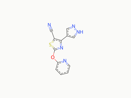 N#Cc1sc(Oc2ccccn2)nc1-c1cn[nH]c1